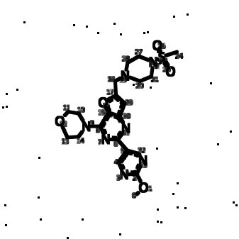 COc1ncc(-c2nc(N3CCOCC3)c3oc(CN4CCN(S(C)(=O)=O)CC4)cc3n2)cn1